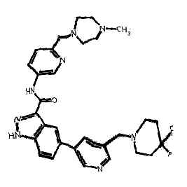 CN1CCN(Cc2ccc(NC(=O)c3n[nH]c4ccc(-c5cncc(CN6CCC(F)(F)CC6)c5)cc34)cn2)CC1